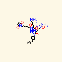 CC(C)Cc1ccc(NC(=O)[C@H](CCCNC(N)=O)NC(=O)[C@H](CCCCN)NC(=O)CCCCCN2C(=O)C=CC2=O)cc1